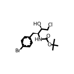 CC(C)(C)OC(=O)N[C@@H](Cc1ccc(Br)cc1)[C@@H](O)CCl